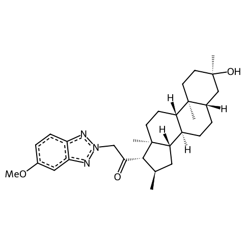 COc1ccc2nn(CC(=O)[C@H]3[C@H](C)C[C@H]4[C@@H]5CC[C@H]6C[C@](C)(O)CC[C@]6(C)[C@H]5CC[C@@]43C)nc2c1